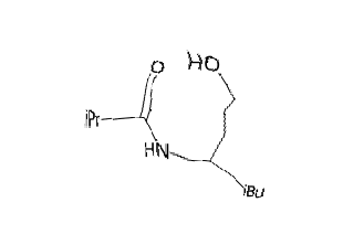 CCC(C)C(CO)NC(=O)C(C)C